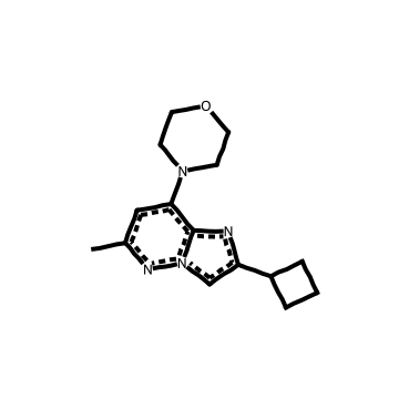 Cc1cc(N2CCOCC2)c2nc(C3CCC3)cn2n1